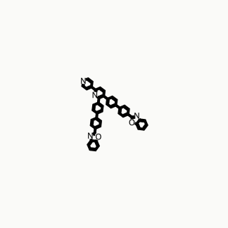 c1ccc2oc(-c3ccc(-c4ccc(-c5ccc(-c6ccncc6)nc5-c5ccc(-c6ccc(-c7nc8ccccc8o7)cc6)cc5)cc4)cc3)nc2c1